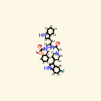 COc1ccccc1CN(C[C@@H](Cc1c[nH]c2ccccc12)NC(=O)CN1CC=C(c2c[nH]c3ccc(F)cc23)CC1)C(C)=O